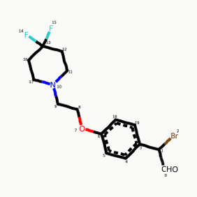 O=CC(Br)c1ccc(OCCN2CCC(F)(F)CC2)cc1